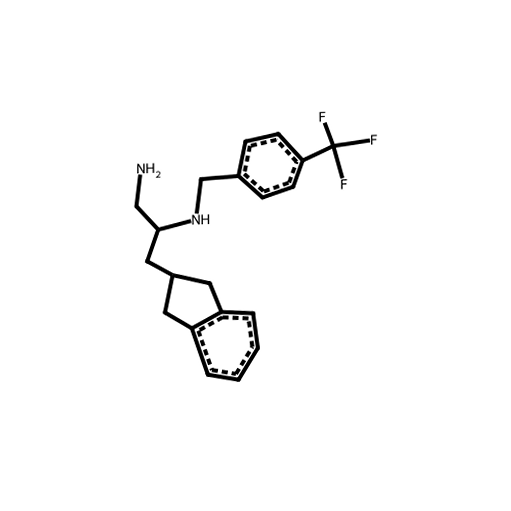 NCC(CC1Cc2ccccc2C1)NCc1ccc(C(F)(F)F)cc1